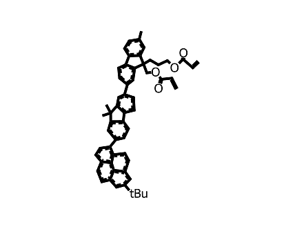 C=CC(=O)OCCCC1(COC(=O)C=C)c2cc(C)ccc2-c2ccc(-c3ccc4c(c3)C(C)(C)c3cc(-c5ccc6ccc7cc(C(C)(C)C)cc8ccc5c6c78)ccc3-4)cc21